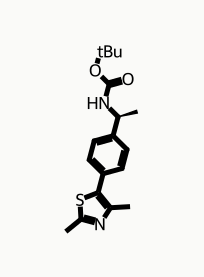 Cc1nc(C)c(-c2ccc([C@H](C)NC(=O)OC(C)(C)C)cc2)s1